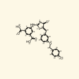 O=C1N=C(Nc2cc(C(=O)O)cc(C(=O)O)c2)S/C1=C\c1cccc(OCc2ccc(Cl)cc2)c1